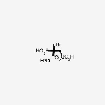 CCCCC(CC(=O)O)(C(=O)O)S(=O)(=O)O.[NaH]